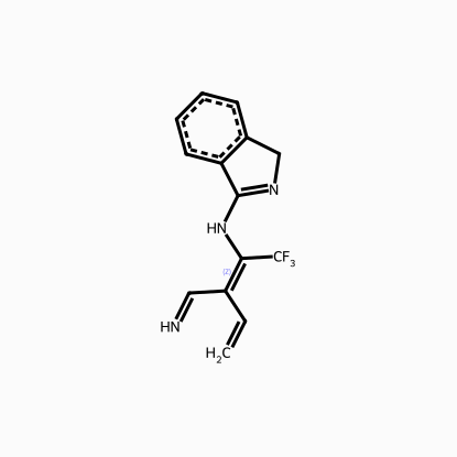 C=C/C(C=N)=C(/NC1=NCc2ccccc21)C(F)(F)F